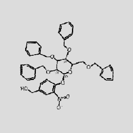 O=[N+]([O-])c1cc(CO)ccc1O[C@@H]1OC(COCc2ccccc2)[C@H](OCc2ccccc2)C(OCc2ccccc2)[C@@H]1OCc1ccccc1